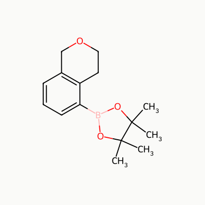 CC1(C)OB(c2cccc3c2CCOC3)OC1(C)C